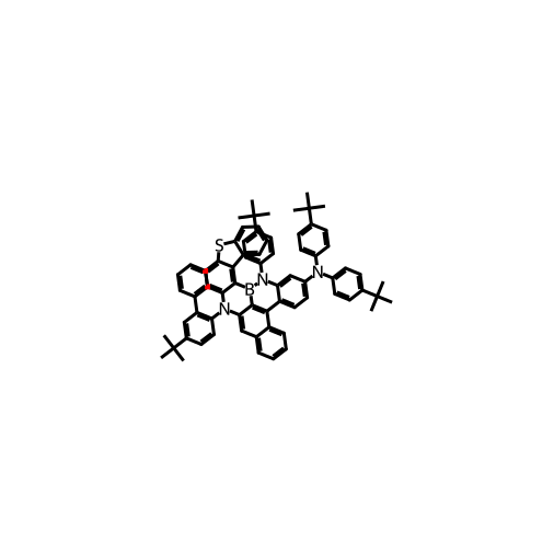 CC(C)(C)c1ccc(N2B3c4c(cc5ccccc5c4-c4ccc(N(c5ccc(C(C)(C)C)cc5)c5ccc(C(C)(C)C)cc5)cc42)N(c2ccc(C(C)(C)C)cc2-c2ccccc2)c2ccc4sc5ccccc5c4c23)cc1